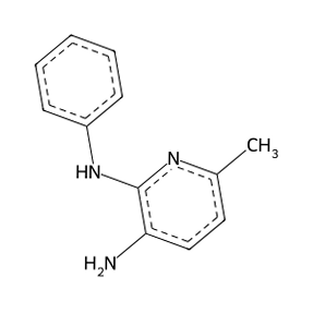 Cc1ccc(N)c(Nc2ccccc2)n1